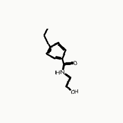 CCc1ccc(C(=O)NCCO)cc1